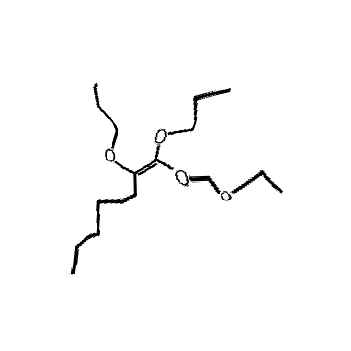 CCCCCC(OCCC)=C(OCCC)OCOCC